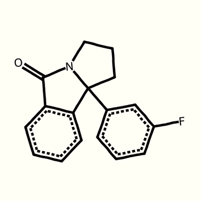 O=C1c2ccccc2C2(c3cccc(F)c3)CCCN12